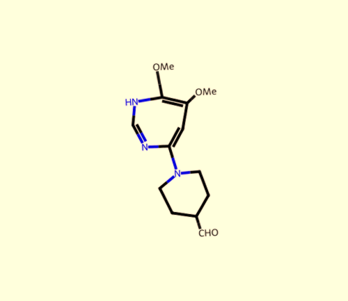 COC1=C(OC)NC=NC(N2CCC(C=O)CC2)=C1